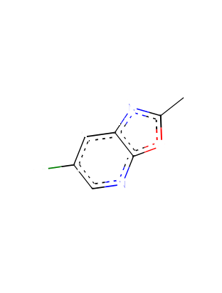 Cc1nc2cc(F)cnc2o1